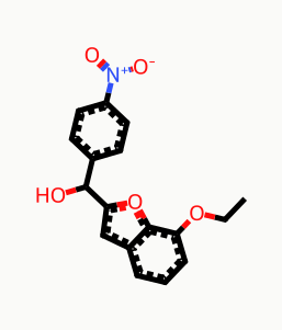 CCOc1cccc2cc(C(O)c3ccc([N+](=O)[O-])cc3)oc12